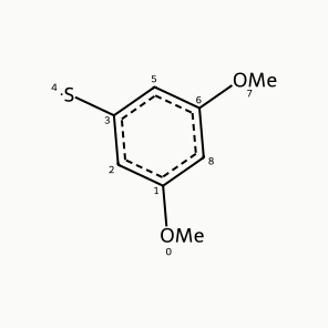 COc1cc([S])cc(OC)c1